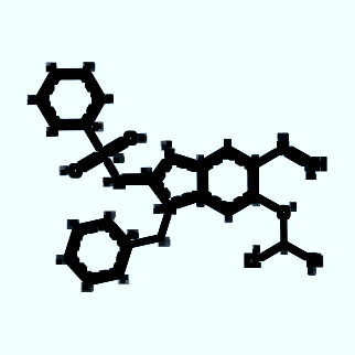 CCC(CC)Oc1cc2c(cc1N=N)s/c(=N\S(=O)(=O)c1ccccc1)n2Cc1ccccc1